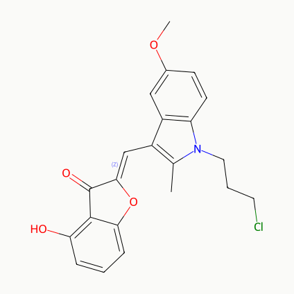 COc1ccc2c(c1)c(/C=C1\Oc3cccc(O)c3C1=O)c(C)n2CCCCl